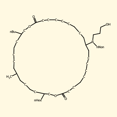 CCCCCCCCCN(CCCO)C1CCCCCCCCC(=O)OCC(CCCC)CCCCCC(C)CCCCC(CCCCCC)COC(=O)CCCCCCCC1